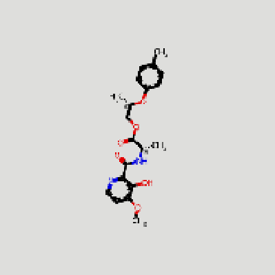 COc1ccnc(C(=O)N[C@@H](C)C(=O)OC[C@H](C)Oc2ccc(C)cc2)c1O